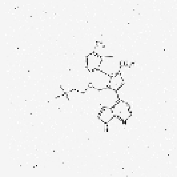 Cc1c(-c2c(C(=O)O)cc(-c3ccnc4[nH]ccc34)n2COCC[Si](C)(C)C)cccc1C(F)(F)F